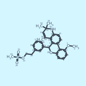 COc1cccc2c1-c1ccc3c(c1C(c1cccc(CCOS(C)(=O)=O)c1)O2)C(C)=CC(C)(C)N3